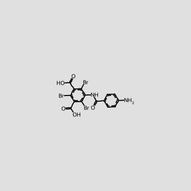 Nc1ccc(C(=O)Nc2c(Br)c(C(=O)O)c(Br)c(C(=O)O)c2Br)cc1